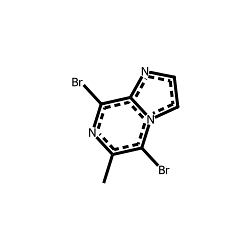 Cc1nc(Br)c2nccn2c1Br